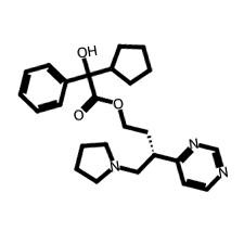 O=C(OCC[C@@H](CN1CCCC1)c1ccncn1)C(O)(c1ccccc1)C1CCCC1